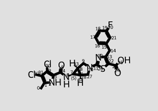 Cc1[nH]c(C(=O)N[C@H]2[C@@H]3CN(c4nc(Cc5cccc(F)c5)c(C(=O)O)s4)C[C@@H]32)c(Cl)c1Cl